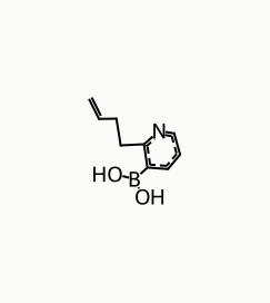 C=CCCc1ncccc1B(O)O